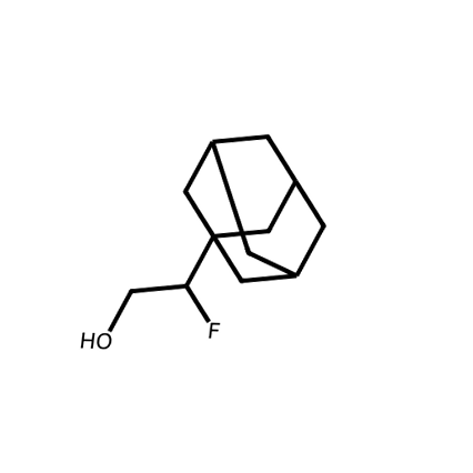 OCC(F)C12CC3CC(CC(C3)C1)C2